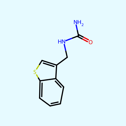 NC(=O)NCc1csc2ccccc12